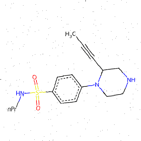 CC#CC1CNCCN1c1ccc(S(=O)(=O)NCCC)cc1